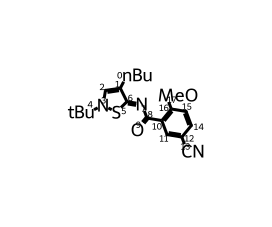 CCCCc1cn(C(C)(C)C)sc1=NC(=O)c1cc(C#N)ccc1OC